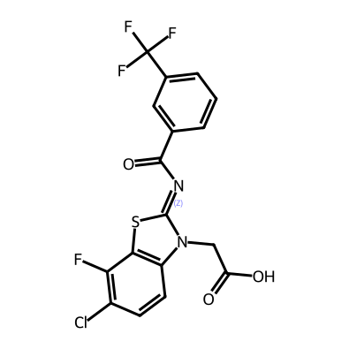 O=C(O)Cn1/c(=N/C(=O)c2cccc(C(F)(F)F)c2)sc2c(F)c(Cl)ccc21